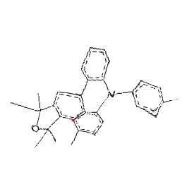 Cc1ccc(N(c2ccc(C)cc2)c2ccccc2-c2ccc3c(c2)C(C)(C)OC3(C)C)cc1